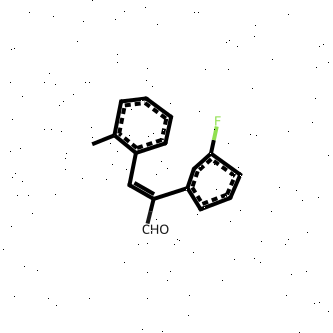 Cc1ccccc1/C=C(/C=O)c1cccc(F)c1